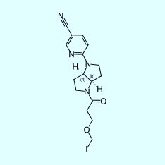 N#Cc1ccc(N2CC[C@@H]3[C@H]2CCN3C(=O)CCOCI)nc1